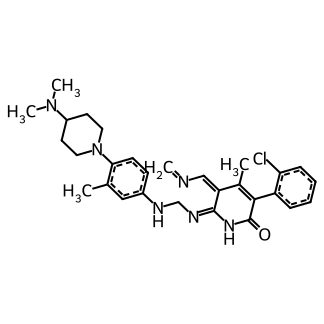 C=N/C=C1/C(C)=C(c2ccccc2Cl)C(=O)N/C1=N/CNc1ccc(N2CCC(N(C)C)CC2)c(C)c1